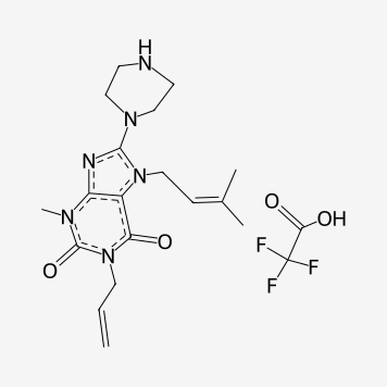 C=CCn1c(=O)c2c(nc(N3CCNCC3)n2CC=C(C)C)n(C)c1=O.O=C(O)C(F)(F)F